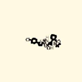 CC1(C)COC(c2ccccc2C2CC2(NS(=O)(=O)c2ccc(-c3ccc(Cl)cc3)s2)C(=O)O)=N1